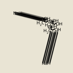 C=C(CCO)C(=O)O.C=C(CCO)C(=O)O.C=C(CCO)C(=O)O.[NaH].[NaH].[NaH].[NaH].[NaH].[NaH].[NaH].[NaH].[NaH].[NaH].[NaH].[NaH].[NaH].[NaH].[NaH].[NaH].[NaH].[NaH].[NaH].[NaH].[NaH].[NaH].[NaH].[NaH].[NaH].[NaH].[NaH].[NaH].[NaH].[NaH].[NaH].[NaH].[NaH].[NaH].[NaH].[NaH].[NaH].[NaH].[NaH].[NaH].[NaH].[NaH].[NaH].[NaH].[NaH].[NaH].[NaH].[NaH].[NaH].[NaH]